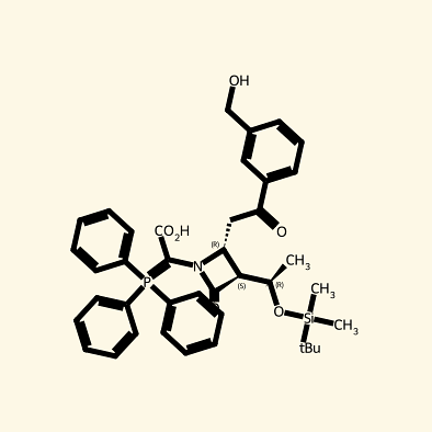 C[C@@H](O[Si](C)(C)C(C)(C)C)[C@H]1C(=O)N(C(C(=O)O)=P(c2ccccc2)(c2ccccc2)c2ccccc2)[C@@H]1CC(=O)c1cccc(CO)c1